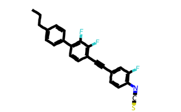 CCCc1ccc(-c2ccc(C#Cc3ccc(N=C=S)c(F)c3)c(F)c2F)cc1